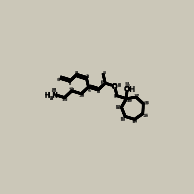 C=C/C=C\C(=C/C(C)OCC1(O)CCCCCC1)CCCN